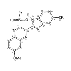 CCS(=O)(=O)c1nc2ccc(OC)cc2nc1-c1nc2cc(C(F)(F)F)ncc2n1C